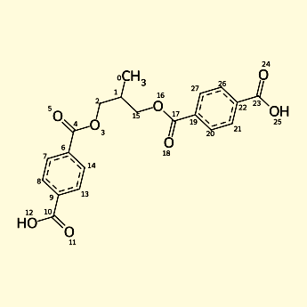 CC(COC(=O)c1ccc(C(=O)O)cc1)COC(=O)c1ccc(C(=O)O)cc1